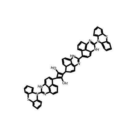 OC1=C(c2ccc3c4c(cccc24)N=C(N2c4ccccc4Sc4ccccc42)N3)C(O)=C1C1C=CC2=C3C(=CC=CC31)NC(c1ccc3c4c(cccc14)N=C(N1c4ccccc4Sc4ccccc41)N3)=N2